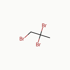 CC(Br)(Br)CBr